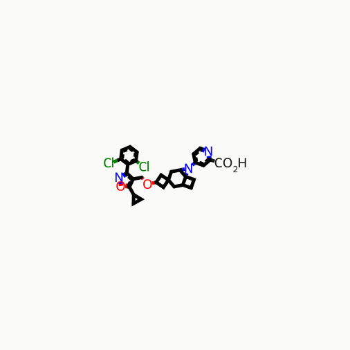 O=C(O)c1cc(N2C3CC4(CC(OCc5c(-c6c(Cl)cccc6Cl)noc5C5CC5)C4)CC4CCC432)ccn1